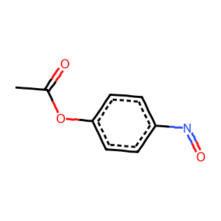 CC(=O)Oc1ccc(N=O)cc1